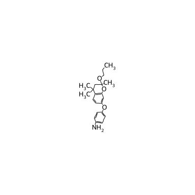 CCCOC1(C)CC(C)(C)c2ccc(Oc3ccc(N)cc3)cc2O1